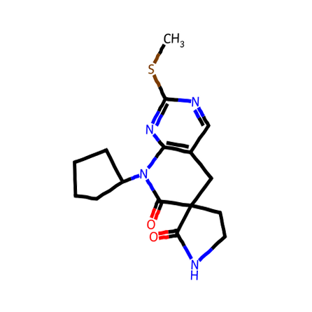 CSc1ncc2c(n1)N(C1CCCC1)C(=O)C1(CCNC1=O)C2